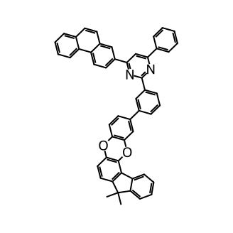 CC1(C)c2ccccc2-c2c1ccc1c2Oc2cc(-c3cccc(-c4nc(-c5ccccc5)cc(-c5ccc6c(ccc7ccccc76)c5)n4)c3)ccc2O1